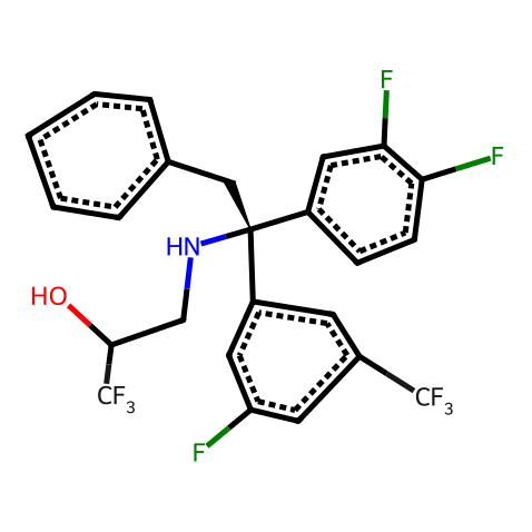 OC(CN[C@@](Cc1ccccc1)(c1cc(F)cc(C(F)(F)F)c1)c1ccc(F)c(F)c1)C(F)(F)F